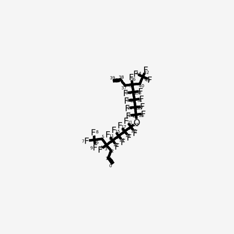 C=CCC(F)(CC(F)(F)F)C(F)(F)C(F)(F)C(F)(F)C(F)(F)OC(F)(F)C(F)(F)C(F)(F)C(F)(F)C(F)(CC=C)CC(F)(F)F